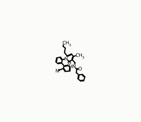 CCCCc1cc(C)c(CNC(=O)Cc2ccccc2)c(=O)n1-c1ccccc1-c1ccccc1C#N